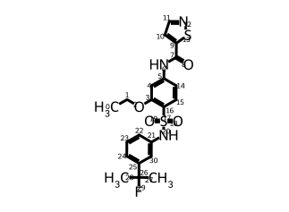 CCOc1cc(NC(=O)c2ccns2)ccc1S(=O)(=O)Nc1cccc(C(C)(C)F)c1